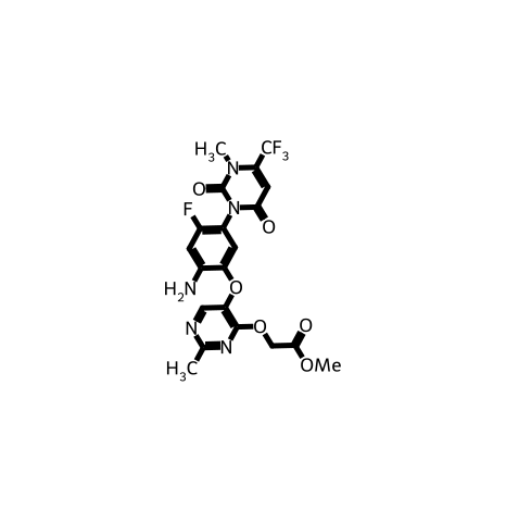 COC(=O)COc1nc(C)ncc1Oc1cc(-n2c(=O)cc(C(F)(F)F)n(C)c2=O)c(F)cc1N